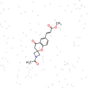 COC(=O)/C=C/c1ccc2c(c1)C(=O)CC1(CN(C(C)=O)C1)O2